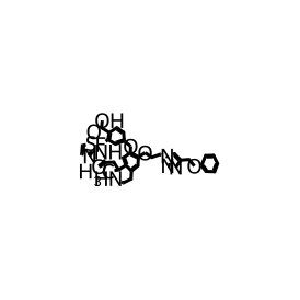 CC1(CC(=O)Nc2nccs2)NCCc2cc(OCCn3cc(COc4ccccc4)nn3)c(Oc3ccc(C(=O)O)c(F)c3)cc21